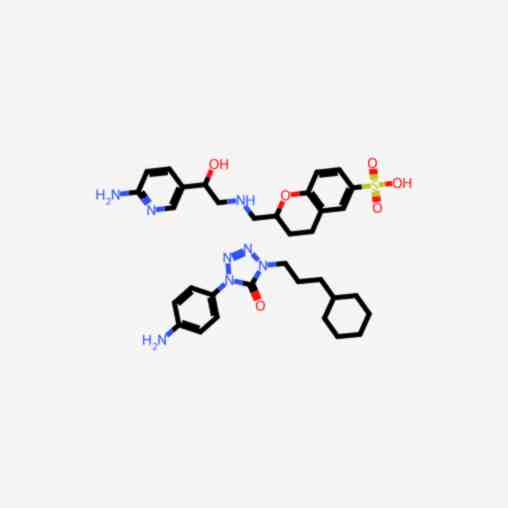 Nc1ccc(-n2nnn(CCCC3CCCCC3)c2=O)cc1.Nc1ccc(C(O)CNCC2CCc3cc(S(=O)(=O)O)ccc3O2)cn1